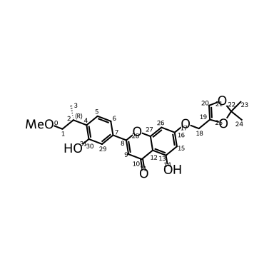 COC[C@H](C)c1ccc(-c2cc(=O)c3c(O)cc(OCC4=COC(C)(C)O4)cc3o2)cc1O